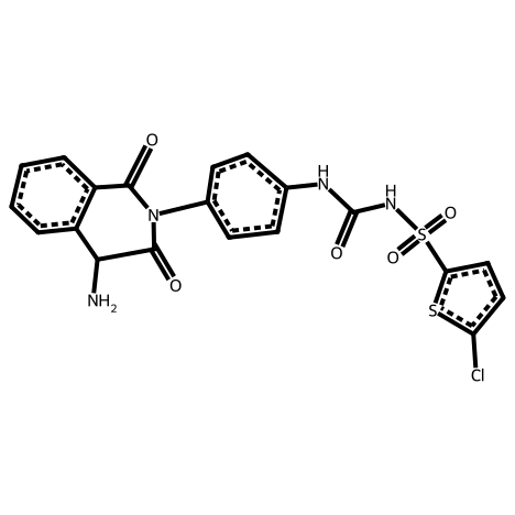 NC1C(=O)N(c2ccc(NC(=O)NS(=O)(=O)c3ccc(Cl)s3)cc2)C(=O)c2ccccc21